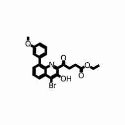 CCOC(=O)CCC(=O)c1nc2c(-c3cccc(OC)c3)cccc2c(Br)c1O